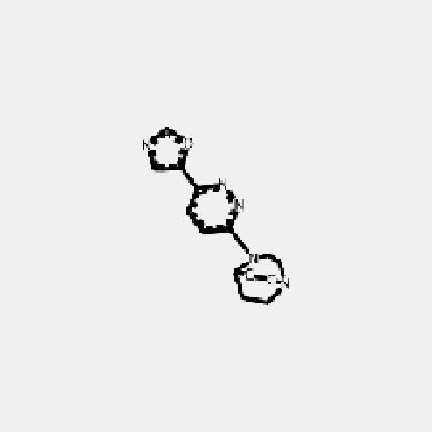 c1ncc(-c2ccc(N3CCN4CCC3CC4)nn2)o1